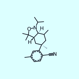 Cc1ccc(C#N)c([C@]2(C)CC(C)[C@H]3[C@H](C2)C(C)(C)ON3C(C)C)c1